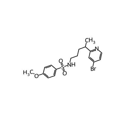 COc1ccc(S(=O)(=O)NCCCC(C)c2cc(Br)ccn2)cc1